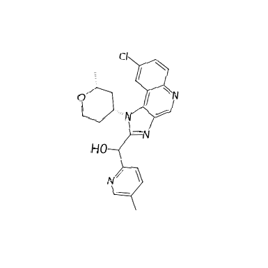 Cc1ccc(C(O)c2nc3cnc4ccc(Cl)cc4c3n2[C@@H]2CCO[C@H](C)C2)nc1